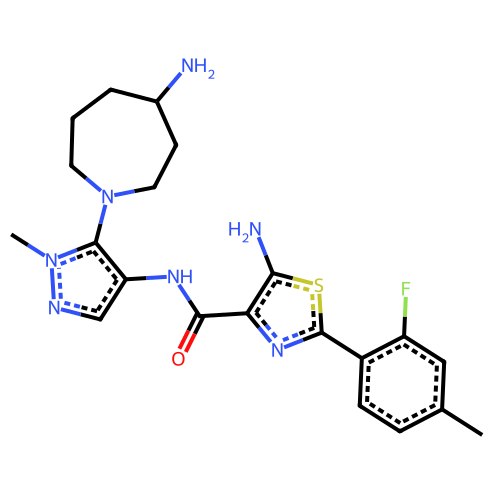 Cc1ccc(-c2nc(C(=O)Nc3cnn(C)c3N3CCCC(N)CC3)c(N)s2)c(F)c1